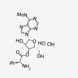 CNc1ncnc2c1ncn2[C@@H]1O[C@H](CO)[C@@H](OC(=O)[C@@H](N)C(C)C)[C@@]1(C)O.Cl.Cl